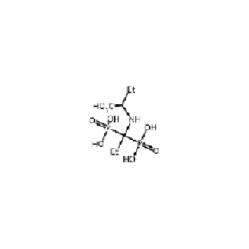 CCC(NC(CC)(P(=O)(O)O)P(=O)(O)O)C(=O)O